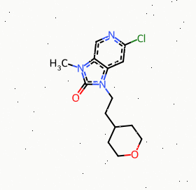 Cn1c(=O)n(CCC2CCOCC2)c2cc(Cl)ncc21